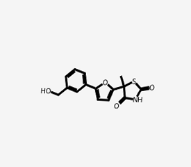 CC1(c2ccc(-c3cccc(CO)c3)o2)SC(=O)NC1=O